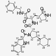 O=C(NCc1ccccc1)C(=O)C(C[C@@H]1CCNC1=O)NC(=O)[C@@H]1C[C@@H](C2CCCCC2)CN1C(=O)c1cc2ccccc2[nH]1